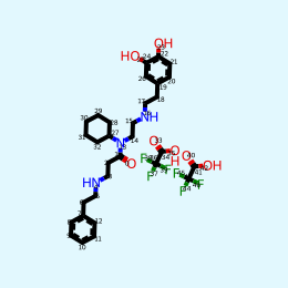 O=C(CCNCCc1ccccc1)N(CCNCCc1ccc(O)c(O)c1)C1CCCCC1.O=C(O)C(F)(F)F.O=C(O)C(F)(F)F